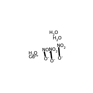 O.O.O.O=[N+]([O-])[O-].O=[N+]([O-])[O-].O=[N+]([O-])[O-].[Gd+3]